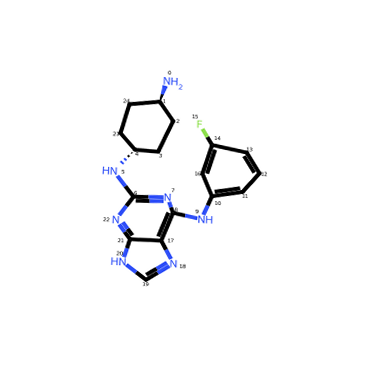 N[C@H]1CC[C@H](Nc2nc(Nc3cccc(F)c3)c3nc[nH]c3n2)CC1